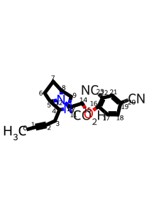 CC#CCC1C2CCC(CN1C(=O)O)N2CCOc1ccc(C#N)cc1C#N